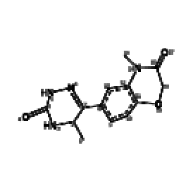 CC1NC(=O)NN=C1c1ccc2c(c1)N(C)C(=O)CO2